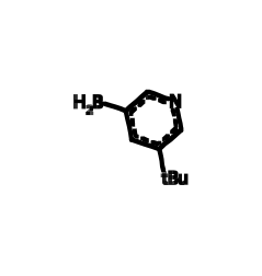 Bc1cncc(C(C)(C)C)c1